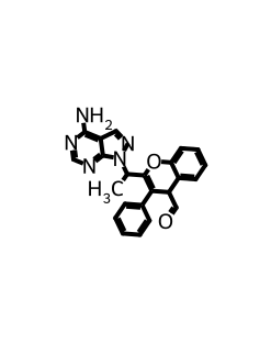 CC(C1=C(c2ccccc2)C(C=O)c2ccccc2O1)n1ncc2c(N)ncnc21